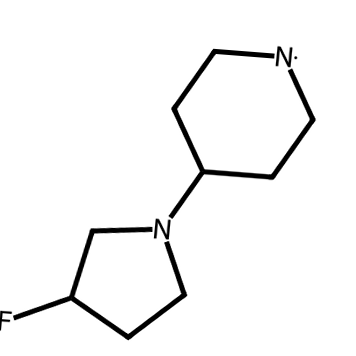 FC1CCN(C2CC[N]CC2)C1